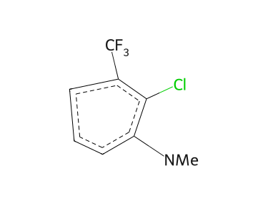 CNc1cccc(C(F)(F)F)c1Cl